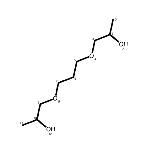 CC(O)COCCCOCC(C)O